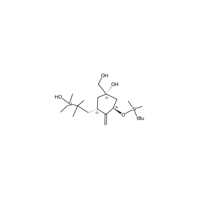 C=C1[C@H](CC(C)(C)[Si](C)(C)O)C[C@@](O)(CO)C[C@H]1O[Si](C)(C)C(C)(C)C